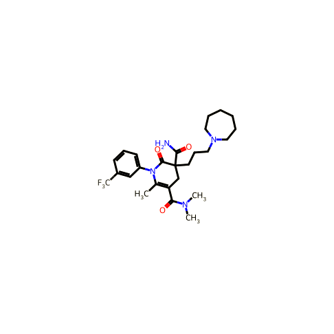 CC1=C(C(=O)N(C)C)CC(CCCN2CCCCCC2)(C(N)=O)C(=O)N1c1cccc(C(F)(F)F)c1